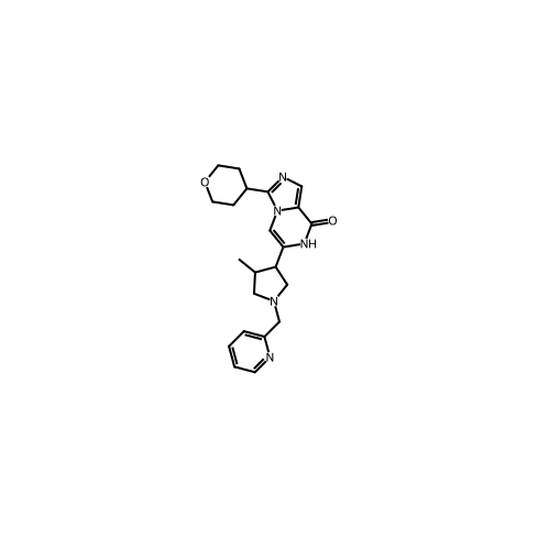 CC1CN(Cc2ccccn2)CC1c1cn2c(C3CCOCC3)ncc2c(=O)[nH]1